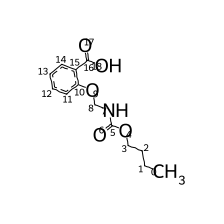 CCCCOC(=O)NCOc1ccccc1C(=O)O